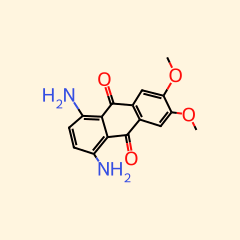 COc1cc2c(cc1OC)C(=O)c1c(N)ccc(N)c1C2=O